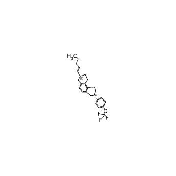 CCCC=C[C@H]1CCc2c(ccc3c2CC[C@H](c2ccc(OC(F)(F)F)cc2)C3)C1